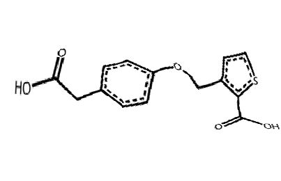 O=C(O)Cc1ccc(OCc2ccsc2C(=O)O)cc1